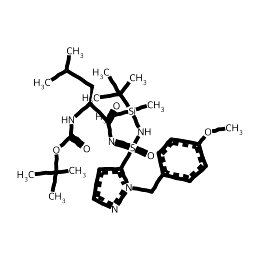 COc1ccc(Cn2nccc2S(=O)(=NC(=O)[C@H](CC(C)C)NC(=O)OC(C)(C)C)N[Si](C)(C)C(C)(C)C)cc1